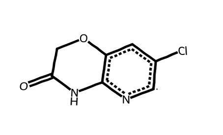 O=C1COc2cc(Cl)[c]nc2N1